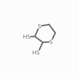 SC1SCCSC1S